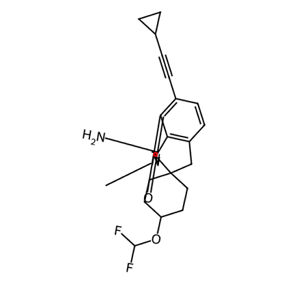 CN1C(=O)C2(N=C1N)c1cc(C#CC3CC3)ccc1CC21CCC(OC(F)F)CC1